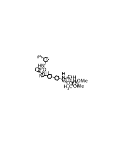 COC(=O)N[C@H](C(=O)N1CCC[C@H]1c1ncc(-c2ccc(-c3ccc(-c4cnc([C@H]5C6CCC(C6)[C@@H]5C(=O)NCc5cncc(C(C)C)c5)[nH]4)cc3)cc2)[nH]1)[C@@H](C)OC